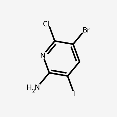 Nc1nc(Cl)c(Br)cc1I